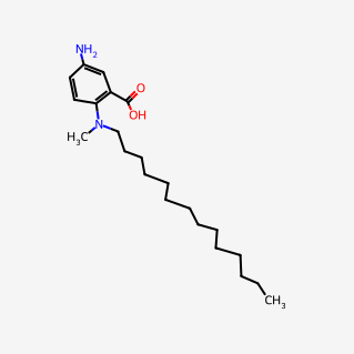 CCCCCCCCCCCCCCN(C)c1ccc(N)cc1C(=O)O